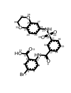 O=C(Nc1ccc(Br)cc1C(=O)O)c1cccc(S(=O)(=O)Nc2ccc3c(c2)OCCO3)c1